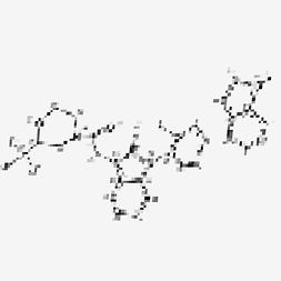 Cc1cc(-c2cncc3c2cnn3C)ccc1-n1c(=O)n(CC(=O)N2CCOC(C(F)(F)F)C2)c2ccccc21